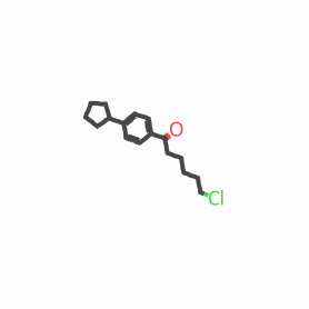 O=C(CCCCCCl)c1ccc(C2CCCC2)cc1